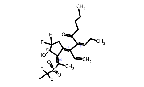 C=CC(/C(=C/CC)C(=O)CCCC)=C1/CC(F)(F)[C@@H](O)/C1=C(/C)S(=O)(=O)C(F)(F)F